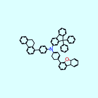 C1=CC2Oc3c(C4=CC=C(N(c5ccc(-c6cccc7c6CCc6ccccc6-7)cc5)c5ccc6c(c5)C(c5ccccc5)(c5ccccc5)c5ccccc5-6)CC4)cccc3C2C=C1